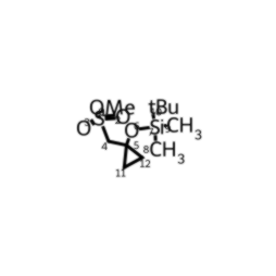 COS(=O)(=O)CC1(O[Si](C)(C)C(C)(C)C)CC1